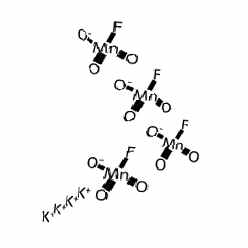 [K+].[K+].[K+].[K+].[O]=[Mn](=[O])([O-])[F].[O]=[Mn](=[O])([O-])[F].[O]=[Mn](=[O])([O-])[F].[O]=[Mn](=[O])([O-])[F]